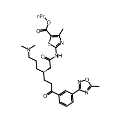 CCCOC(=O)c1sc(NC(=O)C[C@H](CCCN(C)C)CCC(=O)c2cccc(-c3noc(C)n3)c2)nc1C